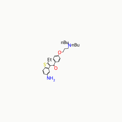 CCCCN(CCCC)CCCOc1ccc(C(=O)c2c(CC)sc3ccc(N)cc23)cc1